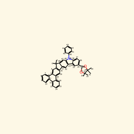 CC1(C)c2cc3c4ccccc4c4ccccc4c3cc2-c2cc3c4cc(B5OC(C)(C)C(C)(C)O5)ccc4n(-c4ccccc4)c3cc21